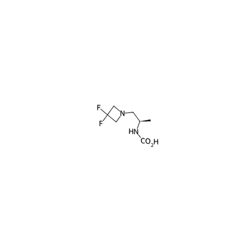 C[C@H](CN1CC(F)(F)C1)NC(=O)O